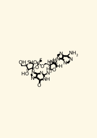 Nc1nc2c(ncn2[C@]2(OP(O)(=S)OC[C@@]34CO[C@@H]([C@H](n5cnc6c(N)ncnc65)O3)[C@@H]4O)CS[C@H](CO)[C@H]2O)c(=O)[nH]1